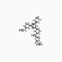 O=C(CN1CCNCC1)Nc1cccc(-c2cc(N3CCOCC3)nc(-c3cccc(CO)c3)n2)c1